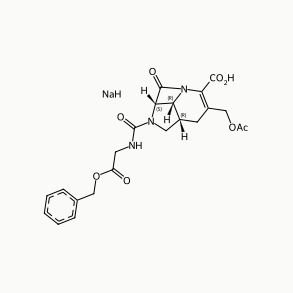 CC(=O)OCC1=C(C(=O)O)N2C(=O)[C@@H]3[C@H]2[C@H](C1)CN3C(=O)NCC(=O)OCc1ccccc1.[NaH]